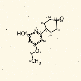 CCOc1cc(O)nc(C2CCC(=O)CC2)c1